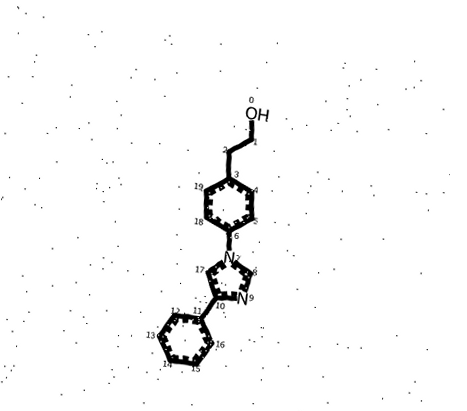 OCCc1ccc(-n2cnc(-c3ccccc3)c2)cc1